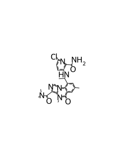 Cc1cc(C(C)Nc2ccc(Cl)nc2C(N)=O)c2c(c1)c(=O)n(C)c1c(C(=O)N(C)C)ncn21